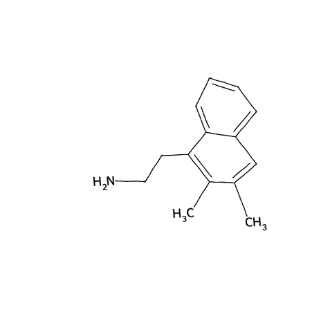 Cc1cc2ccccc2c(CCN)c1C